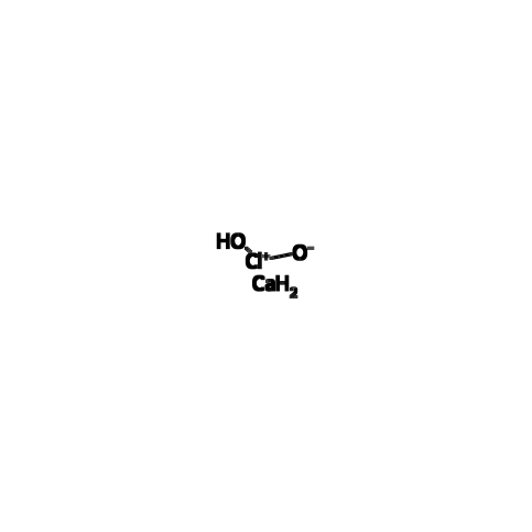 [CaH2].[O-][Cl+]O